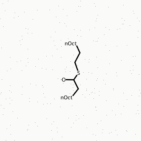 CCCCCCCCCCSC([O])CCCCCCCCC